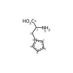 NC(Cn1cccc1)C(=O)O